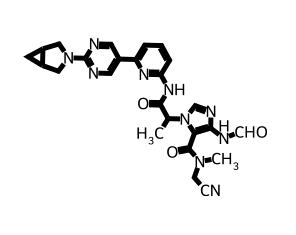 CC(C(=O)Nc1cccc(-c2cnc(N3CC4CC4C3)nc2)n1)n1cnc(NC=O)c1C(=O)N(C)CC#N